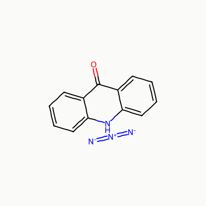 O=c1c2ccccc2[nH]c2ccccc12.[N-]=[N+]=[N-]